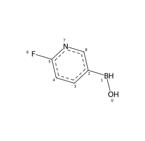 OBc1ccc(F)nc1